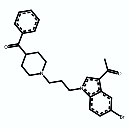 CC(=O)c1cn(CCCN2CCC(C(=O)c3ccccc3)CC2)c2ccc(Br)cc12